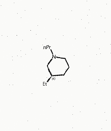 CCCN1CCC[C@@H](CC)C1